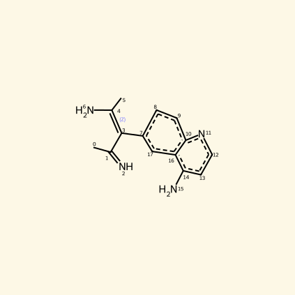 CC(=N)/C(=C(/C)N)c1ccc2nccc(N)c2c1